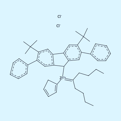 CCCC[C](CCCC)=[Zr+2]([C]1=CC=CC1)[CH]1c2cc(-c3ccccc3)c(C(C)(C)C)cc2-c2cc(C(C)(C)C)c(-c3ccccc3)cc21.[Cl-].[Cl-]